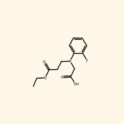 CCOC(=O)CCN(CC(=O)O)c1ccccc1F